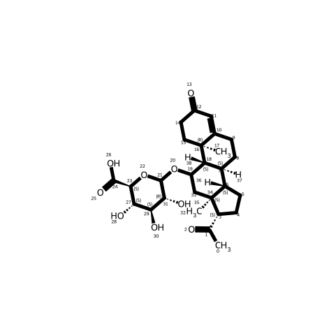 CC(=O)[C@H]1CC[C@H]2[C@@H]3CCC4=CC(=O)CC[C@]4(C)[C@H]3C(OC3O[C@H](C(=O)O)[C@@H](O)[C@H](O)[C@H]3O)C[C@]12C